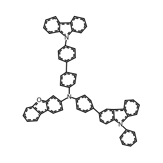 c1ccc(-n2c3ccccc3c3cc(-c4ccc(N(c5ccc(-c6ccc(-n7c8ccccc8c8ccccc87)cc6)cc5)c5ccc6c(c5)oc5ccccc56)cc4)ccc32)cc1